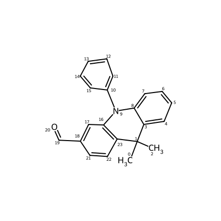 CC1(C)c2ccccc2N(c2ccccc2)c2cc(C=O)ccc21